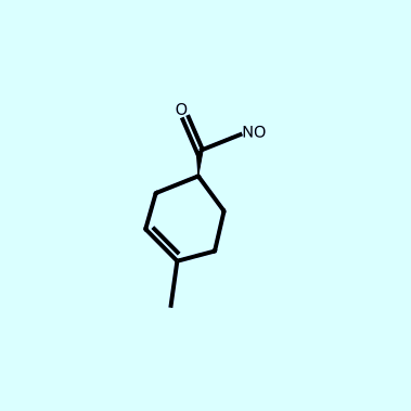 CC1=CC[C@@H](C(=O)N=O)CC1